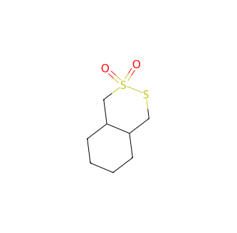 O=S1(=O)CC2CCCCC2CS1